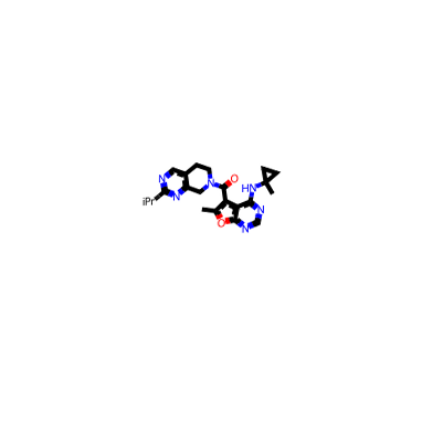 Cc1oc2ncnc(NC3(C)CC3)c2c1C(=O)N1CCc2cnc(C(C)C)nc2C1